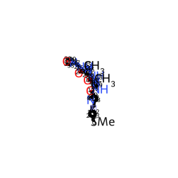 CSc1ccc(/C=C/c2ccc(C(=O)Nc3cc(C(=O)Nc4cc(C(=O)NCCN5CCOCC5)n(C)c4)n(C)c3)cn2)cc1